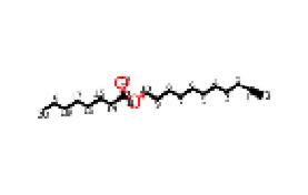 C#CCCCCCCCCCOC(=O)CCCCCCC